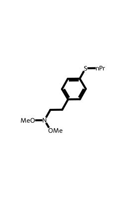 CCCSc1ccc(CCN(OC)OC)cc1